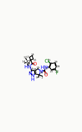 CC1(C)c2[nH]nc(NC(=O)C3([Si](C)(C)C)CCC3)c2CN1C(=O)Nc1cc(F)ccc1Cl